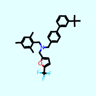 Cc1cc(C)c(CN(Cc2ccc(-c3cccc(C(C)(C)C)c3)cc2)Cc2ccc(C(F)(F)F)o2)c(C)c1